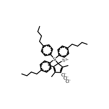 CCCCc1ccc([Si](c2ccc(CCCC)cc2)(c2ccc(CCCC)cc2)[C]2([Ti+3])C(C)=CC(C)=C2C)cc1.[Cl-].[Cl-].[Cl-]